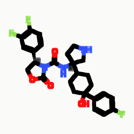 O=C(N[C@@]1(C2CCC(O)(c3ccc(F)cc3)CC2)CCNC1)N1C(=O)OC[C@@H]1c1ccc(F)c(F)c1